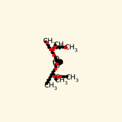 CCCCCCCCC(CC)CCC(CCCCCCCC)CCCCCOC(=O)c1ccccc1C(=O)OCCCCCC(CCCCCCCC)CCC(CC)CCCCCCCC